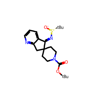 CC(C)(C)OC(=O)N1CCC2(CC1)Cc1ncccc1C2=N[S@+]([O-])C(C)(C)C